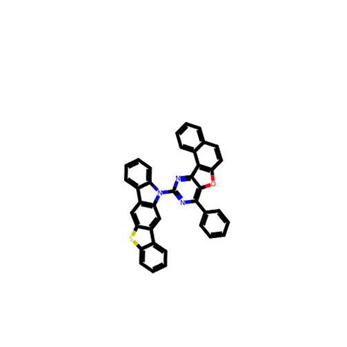 c1ccc(-c2nc(-n3c4ccccc4c4cc5sc6ccccc6c5cc43)nc3c2oc2ccc4ccccc4c23)cc1